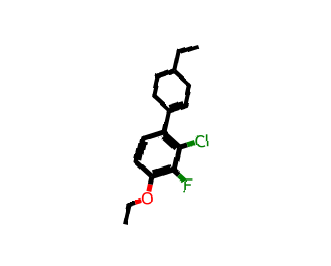 CCOc1ccc(C2=CCC(CC)CC2)c(Cl)c1F